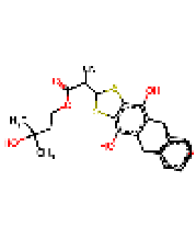 CC(C)(O)CCOC(=O)C(C#N)C1Sc2c(O)c3c(c(O)c2S1)C1c2ccccc2C3C2=CC=CCC21